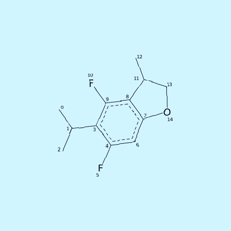 CC(C)c1c(F)cc2c(c1F)C(C)CO2